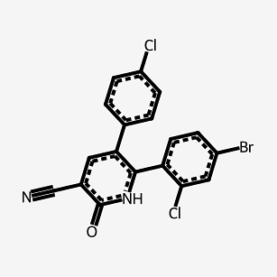 N#Cc1cc(-c2ccc(Cl)cc2)c(-c2ccc(Br)cc2Cl)[nH]c1=O